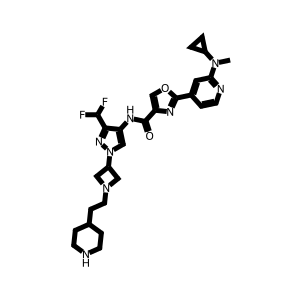 CN(c1cc(-c2nc(C(=O)Nc3cn(C4CN(CCC5CCNCC5)C4)nc3C(F)F)co2)ccn1)C1CC1